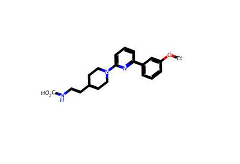 CCOc1cccc(-c2cccc(N3CCC(CCNC(=O)O)CC3)n2)c1